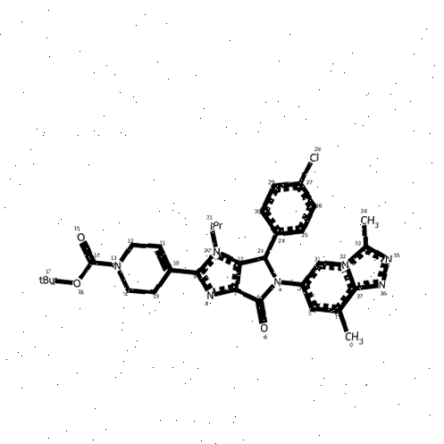 Cc1cc(N2C(=O)c3nc(C4=CCN(C(=O)OC(C)(C)C)CC4)n(C(C)C)c3C2c2ccc(Cl)cc2)cn2c(C)nnc12